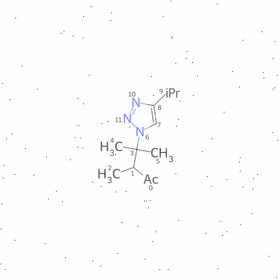 CC(=O)C(C)C(C)(C)n1cc(C(C)C)nn1